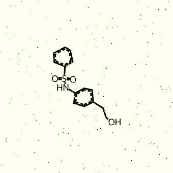 O=S(=O)(Nc1ccc(CCO)cc1)c1ccccc1